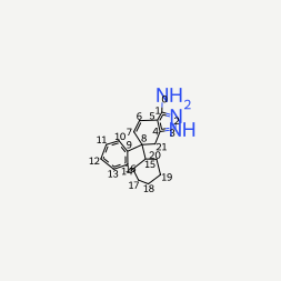 Nc1n[nH]c2c1C=CC(c1ccccc1)(C1CCCCC1)C2